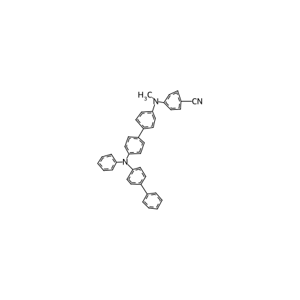 CN(c1ccc(C#N)cc1)c1ccc(-c2ccc(N(c3ccccc3)c3ccc(-c4ccccc4)cc3)cc2)cc1